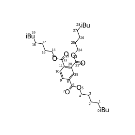 CCC(C)CCCCOC(=O)c1ccc(C(=O)OCCCCC(C)CC)c(C(=O)OCCCCC(C)CC)c1